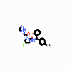 CC(C)c1ccc(C(NC(=O)C2CC(F)CN2C(=O)Cn2ccnn2)c2ccccc2)cc1